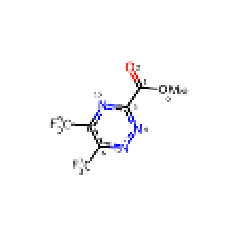 COC(=O)c1nnc(C(F)(F)F)c(C(F)(F)F)n1